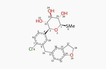 CS[C@H]1O[C@@H](c2ccc(Cl)c(Cc3ccc4c(c3)CCO4)c2)[C@H](O)[C@@H](O)[C@@H]1O